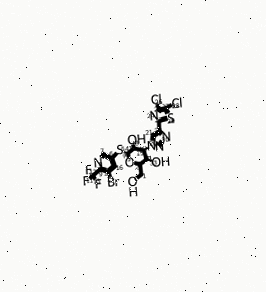 OCC1O[C@H](Sc2cnc(C(F)(F)F)c(Br)c2)C(O)[C@@H](n2cc(-c3nc(Cl)c(Cl)s3)nn2)[C@H]1O